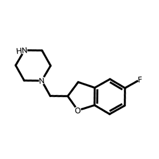 Fc1ccc2c(c1)CC(CN1CCNCC1)O2